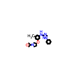 Cc1cc(Nc2ncn(-c3ccccc3)n2)cc(O[C@H]2CCN(C3COC3)C2)c1